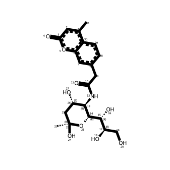 Cc1cc(=O)oc2cc(CC(=O)N[C@H]3[C@H]([C@H](O)[C@H](O)CO)O[C@@](C)(O)C[C@@H]3O)ccc12